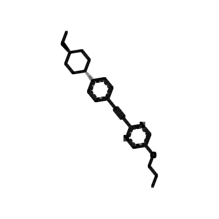 CCCOc1cnc(C#Cc2ccc([C@H]3CC[C@H](CC)CC3)cc2)nc1